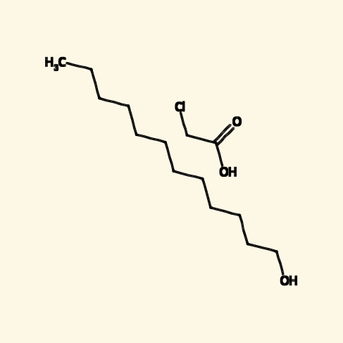 CCCCCCCCCCCCO.O=C(O)CCl